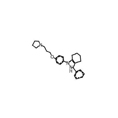 c1ccc(C2NN(c3ccc(OCCCN4CCCC4)cc3)C3=C2CCCC3)cc1